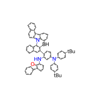 CC(C)(C)c1ccc(N(c2ccc(C(C)(C)C)cc2)c2ccc(-c3cc4ccccc4c4c3Bc3cccc5c6c7ccccc7ccc6n-4c35)c(Nc3cccc4c3oc3ccccc34)c2)cc1